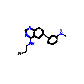 CC(C)CCNc1ncnc2ccc(-c3cccc(N(C)C)c3)cc12